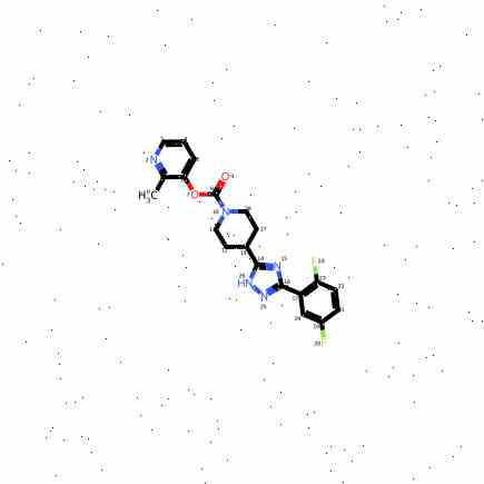 Cc1ncccc1OC(=O)N1CCC(c2nc(-c3cc(F)ccc3F)n[nH]2)CC1